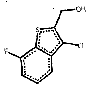 OCc1sc2c(F)cccc2c1Cl